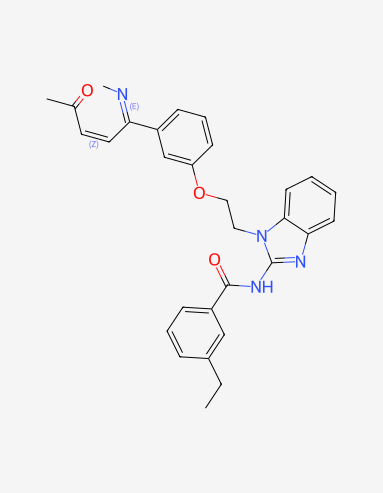 CCc1cccc(C(=O)Nc2nc3ccccc3n2CCOc2cccc(C(/C=C\C(C)=O)=N/C)c2)c1